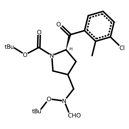 Cc1c(Cl)[c]ccc1C(=O)[C@H]1CC(CN(C=O)OC(C)(C)C)CN1C(=O)OC(C)(C)C